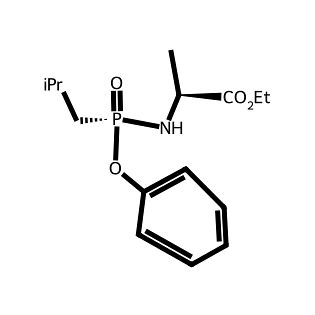 CCOC(=O)[C@H](C)N[P@@](=O)(CC(C)C)Oc1ccccc1